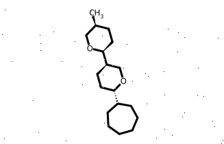 C[C@H]1CC[C@@H]([C@@H]2CC[C@@H](C3CCCCCC3)OC2)OC1